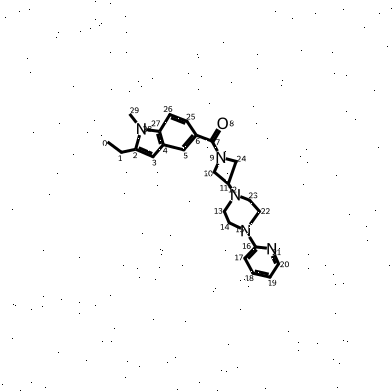 CCc1cc2cc(C(=O)N3CC(N4CCN(c5ccccn5)CC4)C3)ccc2n1C